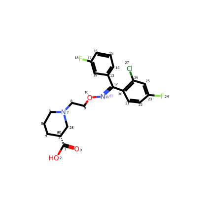 O=C(O)[C@@H]1CCCN(CCO/N=C(\c2cccc(F)c2)c2ccc(F)cc2Cl)C1